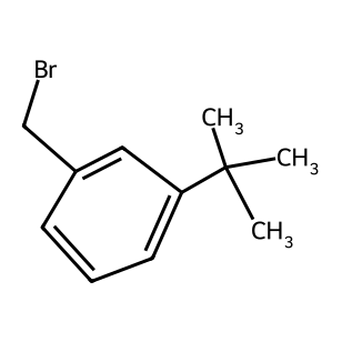 CC(C)(C)c1cccc(CBr)c1